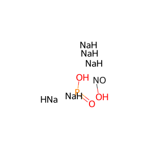 O=NO.O=PO.[NaH].[NaH].[NaH].[NaH].[NaH]